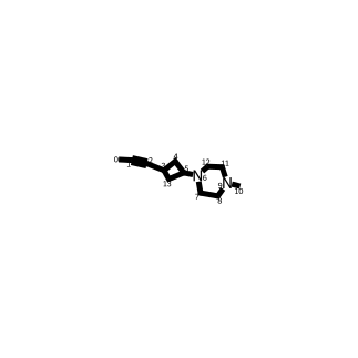 CC#CC1CC(N2CCN(C)CC2)C1